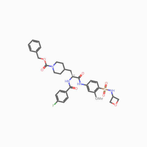 COc1cc(NC(=O)[C@H](CC2CCN(C(=O)OCc3ccccc3)CC2)NC(=O)c2ccc(F)cc2)ccc1S(=O)(=O)NC1COC1